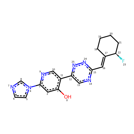 Oc1cc(-n2ccnc2)ncc1-c1cnc(/C=C2\CCCC[C@H]2F)nn1